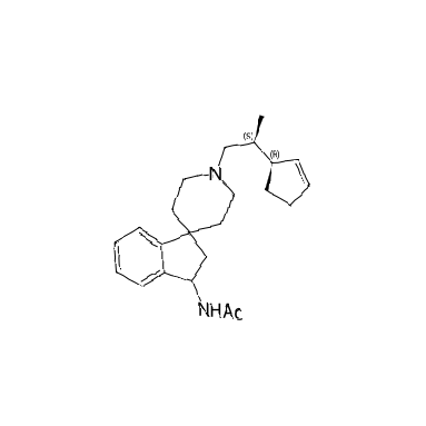 CC(=O)NC1CC2(CCN(C[C@@H](C)[C@H]3C=CCC3)CC2)c2ccccc21